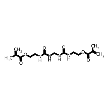 C=C(C)C(=O)OCCNC(=O)NCNC(=O)NCCOC(=O)C(=C)C